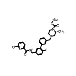 C[C@H]1CN(Cc2cccc(-c3cc(CNC(=O)c4cccc(Cl)n4)ccc3F)c2)CCN1C(=O)OC(C)(C)C